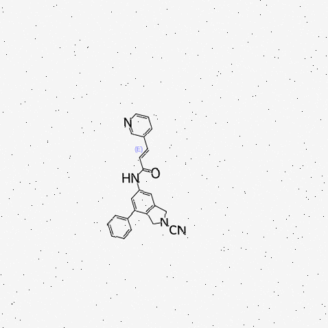 N#CN1Cc2cc(NC(=O)/C=C/c3cccnc3)cc(-c3ccccc3)c2C1